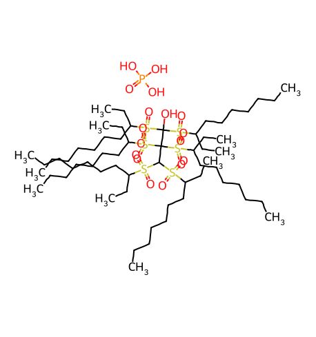 CCCCCCCC(CC)S(=O)(=O)C(C(C(O)(S(=O)(=O)C(CC)CCCCCCC)S(=O)(=O)C(CC)CCCCCCC)(S(=O)(=O)C(CC)CCCCCCC)S(=O)(=O)C(CC)CCCCCCC)S(=O)(=O)C(CC)CCCCCCC.O=P(O)(O)O